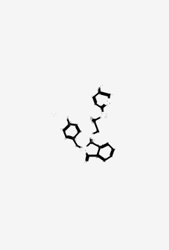 COc1ccc(CN2C(=O)c3ccccc3C2SCC(=O)Nc2ccc(C(=O)O)cn2)cc1